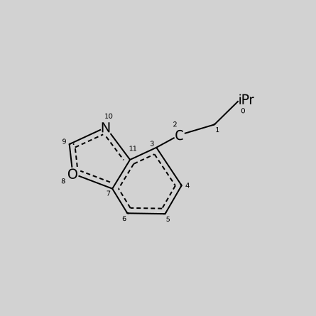 CC(C)CCc1cccc2o[c]nc12